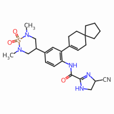 CN1CC(c2ccc(NC(=O)C3=NC(C#N)CN3)c(C3=CCC4(CCCC4)CC3)c2)CN(C)S1(=O)=O